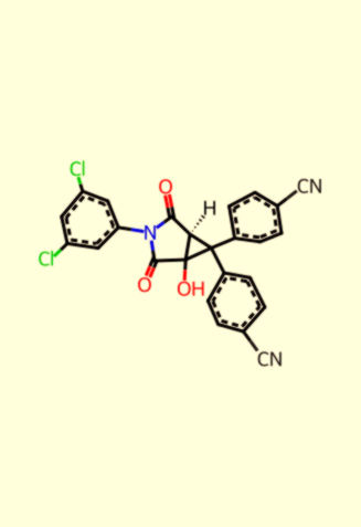 N#Cc1ccc(C2(c3ccc(C#N)cc3)[C@@H]3C(=O)N(c4cc(Cl)cc(Cl)c4)C(=O)C32O)cc1